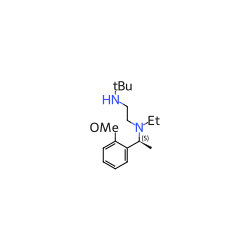 CCN(CCNC(C)(C)C)[C@@H](C)c1ccccc1OC